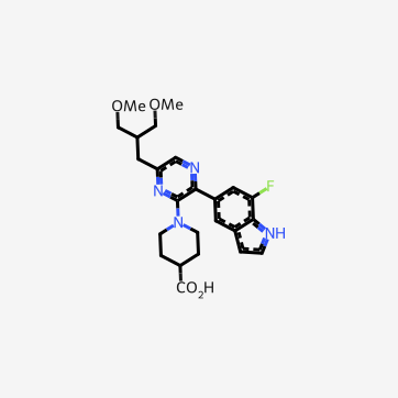 COCC(COC)Cc1cnc(-c2cc(F)c3[nH]ccc3c2)c(N2CCC(C(=O)O)CC2)n1